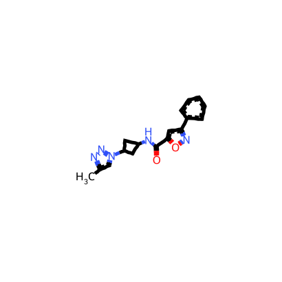 Cc1cn(C2CC(NC(=O)c3cc(-c4ccccc4)no3)C2)nn1